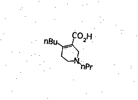 CCCCC1=C(C(=O)O)CN(CCC)CC1